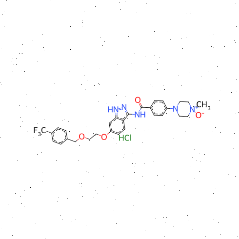 C[N+]1([O-])CCN(c2ccc(C(=O)Nc3n[nH]c4cc(OCCOCc5ccc(C(F)(F)F)cc5)ccc34)cc2)CC1.Cl